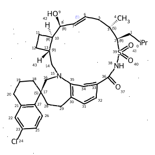 CC(C)C[C@@H]1[C@@H](C)C/C=C/[C@H](O)[C@@H]2CC[C@H]2CN2C[C@@]3(CCCc4cc(Cl)ccc43)CCc3ccc(cc32)C(=O)NS1(=O)=O